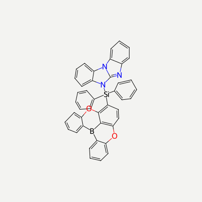 c1ccc([Si](c2ccccc2)(c2ccc3c4c2Oc2ccccc2B4c2ccccc2O3)n2c3ccccc3n3c4ccccc4nc23)cc1